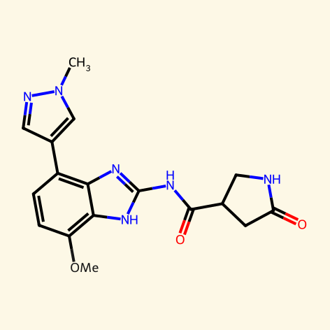 COc1ccc(-c2cnn(C)c2)c2nc(NC(=O)C3CNC(=O)C3)[nH]c12